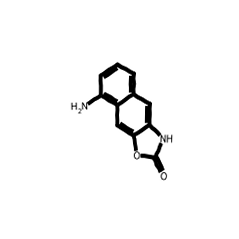 Nc1cccc2cc3[nH]c(=O)oc3cc12